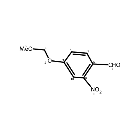 COCOc1ccc(C=O)c([N+](=O)[O-])c1